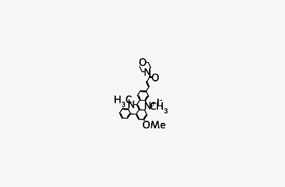 COc1cc2c3c(c4ccc(/C=C/C(=O)N5CCOCC5)cc4[n+](C)c3c1)N(C)c1ccccc1-2.[I-]